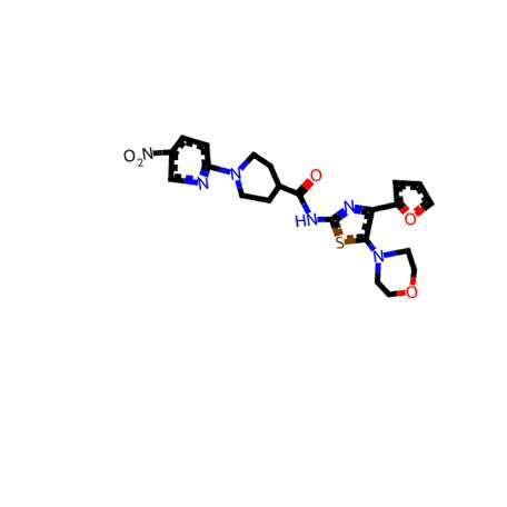 O=C(Nc1nc(-c2ccco2)c(N2CCOCC2)s1)C1CCN(c2ccc([N+](=O)[O-])cn2)CC1